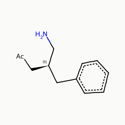 CC(=O)C[C@@H](CN)Cc1ccccc1